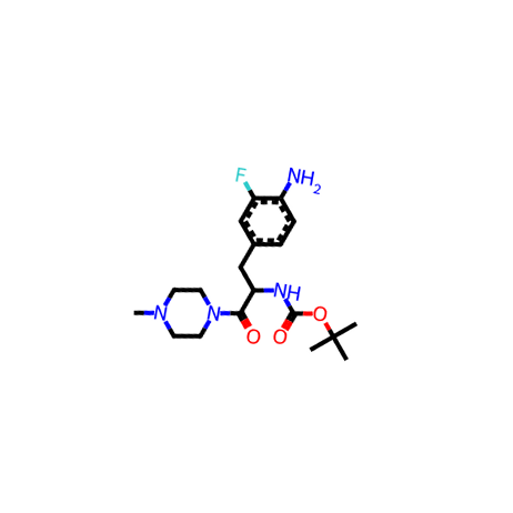 CN1CCN(C(=O)C(Cc2ccc(N)c(F)c2)NC(=O)OC(C)(C)C)CC1